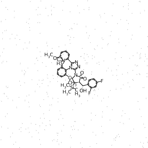 COc1cccc(-c2nnc(N3CC([Si](C)(C)C)[C@H]([C@@H](O)c4ccc(F)cc4F)S3(=O)=O)n2-c2c(OC)cccc2OC)n1